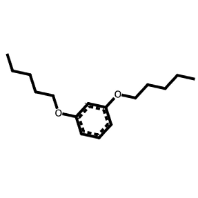 CCCCCOc1[c]c(OCCCCC)ccc1